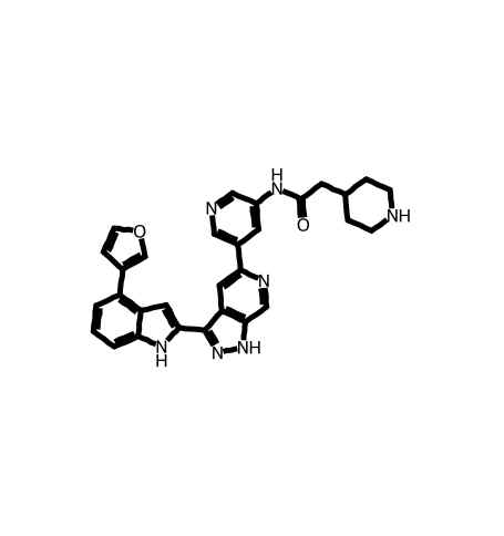 O=C(CC1CCNCC1)Nc1cncc(-c2cc3c(-c4cc5c(-c6ccoc6)cccc5[nH]4)n[nH]c3cn2)c1